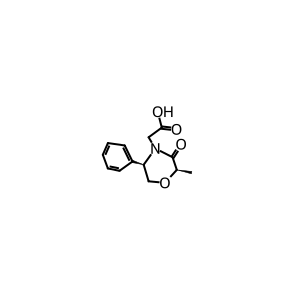 C[C@H]1OC[C@@H](c2ccccc2)N(CC(=O)O)C1=O